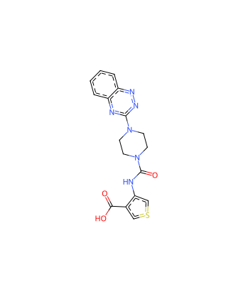 O=C(O)c1cscc1NC(=O)N1CCN(c2nnc3ccccc3n2)CC1